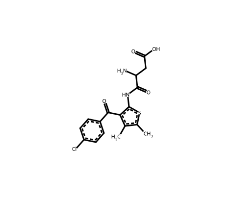 Cc1sc(NC(=O)C(N)CC(=O)O)c(C(=O)c2ccc(Cl)cc2)c1C